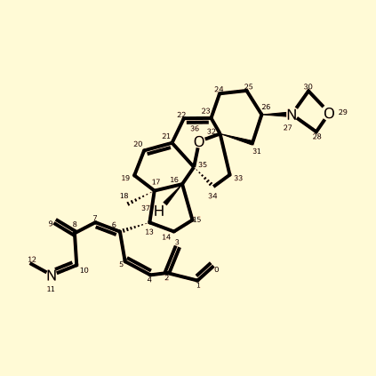 C=CC(=C)/C=C\C(=C/C(=C)/C=N\C)[C@H]1CC[C@@H]2[C@]1(C)CC=C1C=C3CC[C@@H](N4COC4)C[C@]34CC[C@@]12O4